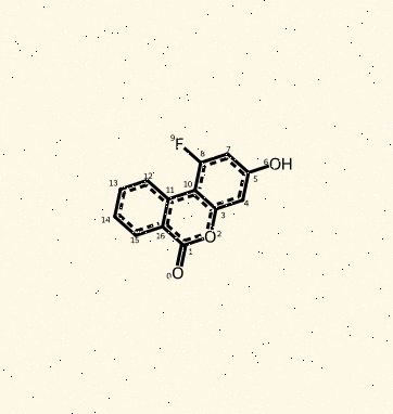 O=c1oc2cc(O)cc(F)c2c2ccccc12